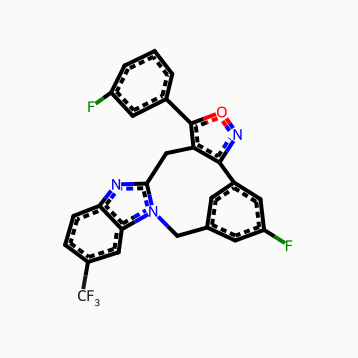 Fc1cc2cc(c1)-c1noc(-c3cccc(F)c3)c1Cc1nc3ccc(C(F)(F)F)cc3n1C2